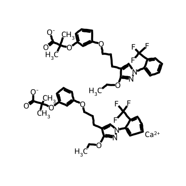 CCOc1nn(-c2ccccc2C(F)(F)F)cc1CCCOc1cccc(OC(C)(C)C(=O)[O-])c1.CCOc1nn(-c2ccccc2C(F)(F)F)cc1CCCOc1cccc(OC(C)(C)C(=O)[O-])c1.[Ca+2]